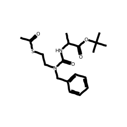 CC(=O)SCCN(Cc1ccccc1)C(=O)NC(C)C(=O)OC(C)(C)C